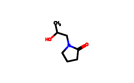 CC(O)CN1CCCC1=O